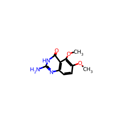 COc1ccc2nc(N)[nH]c(=O)c2c1OC